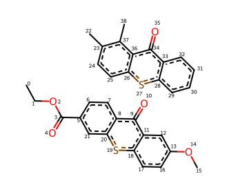 CCOC(=O)c1ccc2c(=O)c3cc(OC)ccc3sc2c1.Cc1ccc2sc3ccccc3c(=O)c2c1C